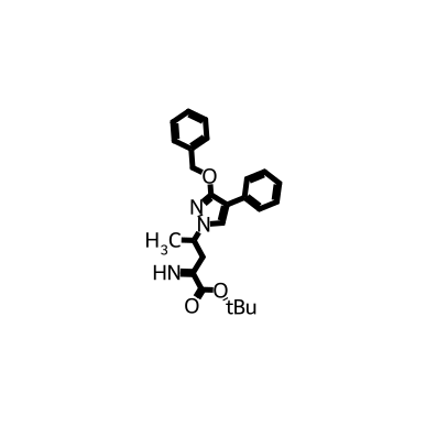 CC(CC(=N)C(=O)OC(C)(C)C)n1cc(-c2ccccc2)c(OCc2ccccc2)n1